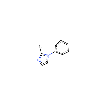 C[CH]c1nccn1-c1ccccc1